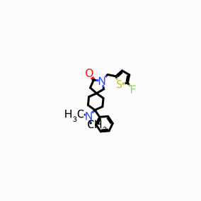 CN(C)C1(c2ccccc2)CCC2(CC1)CC(=O)N(Cc1ccc(F)s1)C2